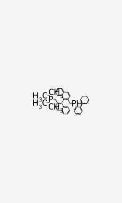 CC(C)P(Cc1ccc2ccccc2c1-c1c(CPc2ccccc2C2CCCCC2)ccc2ccccc12)C(C)C